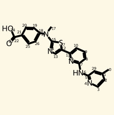 Cc1ccnc(Nc2cccc(-c3cnc(N(C)c4ccc(C(=O)O)cc4)s3)n2)c1